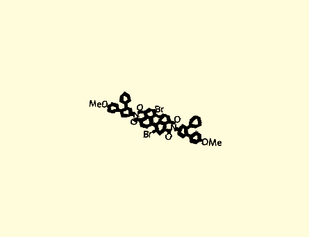 COc1ccc(-c2ccc(N3C(=O)c4ccc5c6c(Br)cc7c8c(ccc(c9c(Br)cc(c4c59)C3=O)c86)C(=O)N(c3ccc(-c4ccc(OC)cc4)c(-c4ccccc4)c3)C7=O)cc2-c2ccccc2)cc1